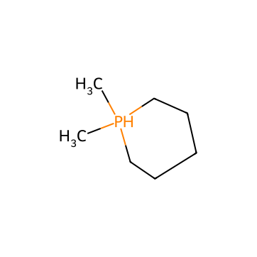 C[PH]1(C)CCCCC1